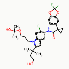 CC(C)(O)OCCCn1c(C(C)(C)CCO)cc2cc(NC(=O)C3(c4ccc5c(c4)OC(F)(F)O5)CC3)c(F)cc21